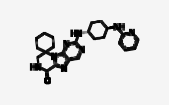 O=C1NCC2(CCCCC2)n2c1nc1cnc(N[C@H]3CC[C@H](Nc4ccccn4)CC3)nc12